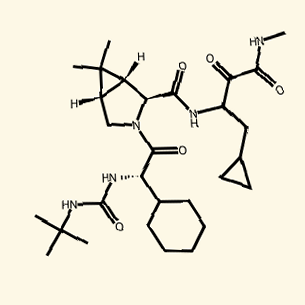 CNC(=O)C(=O)C(CC1CC1)NC(=O)[C@@H]1[C@@H]2[C@H](CN1C(=O)[C@@H](NC(=O)NC(C)(C)C)C1CCCCC1)C2(C)C